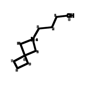 OCCCN1CC2(CCC2)C1